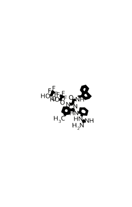 Cc1ccc2nc(C(=O)NCc3cccc4ccccc34)nc(NC3CCCCC3NC(=N)N)c2c1.O=C(O)C(F)(F)F.O=C(O)C(F)(F)F